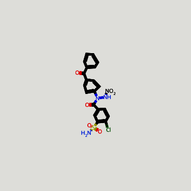 NS(=O)(=O)c1cc(C(=O)N(N[N+](=O)[O-])c2ccc(C(=O)c3ccccc3)cc2)ccc1Cl